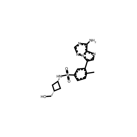 Cc1ccc(S(=O)(=O)N[C@H]2C[C@@H](CO)C2)cc1-c1cnc2c(N)ncnn12